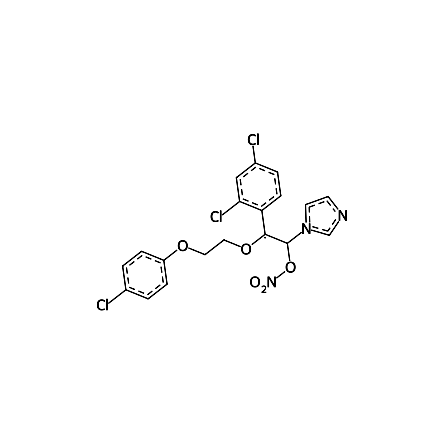 O=[N+]([O-])OC([C](OCCOc1ccc(Cl)cc1)c1ccc(Cl)cc1Cl)n1ccnc1